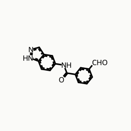 O=Cc1cccc(C(=O)Nc2ccc3[nH]ncc3c2)c1